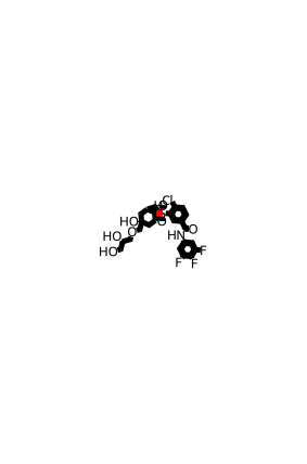 C[C@H]1CC2C[C@](O)(COCC(O)CO)CC1[C@@H]2S(=O)(=O)c1cc(C(=O)Nc2cc(F)c(F)c(F)c2)ccc1Cl